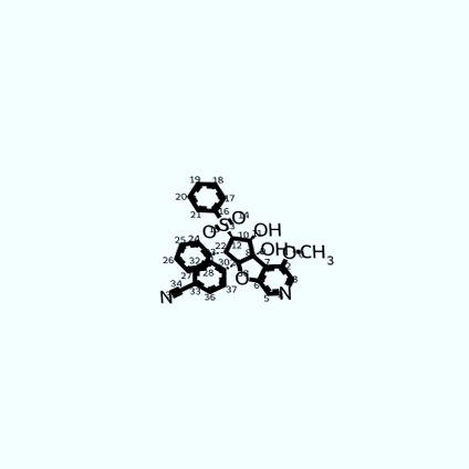 COc1cncc2c1[C@]1(O)[C@H](O)[C@H](S(=O)(=O)c3ccccc3)[C@@H](c3ccccc3)[C@]1(c1ccc(C#N)cc1)O2